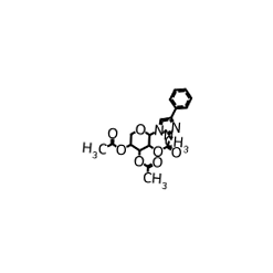 CC(=O)OC1COC(n2cc(-c3ccccc3)nn2)C(OC(C)=O)C1OC(C)=O